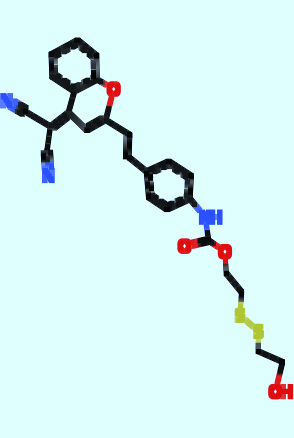 N#CC(C#N)=C1C=C(/C=C/c2ccc(NC(=O)OCCSSCCO)cc2)Oc2ccccc21